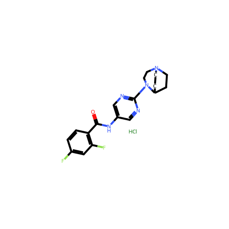 Cl.O=C(Nc1cnc(N2CCN3CCC2CC3)nc1)c1ccc(F)cc1F